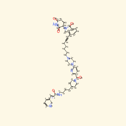 O=C(/C=C/c1cccnc1)NCCCCC1CCN(C(=O)c2ccc(N3CCN(CCCCCC#Cc4cccc5c4CN(C4CCC(=O)NC4=O)C5=O)CC3)nc2)CC1